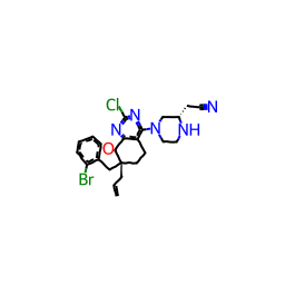 C=CC[C@]1(Cc2ccccc2Br)CCc2c(nc(Cl)nc2N2CCN[C@@H](CC#N)C2)C1=O